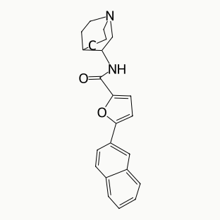 O=C(NC1CN2CCCC1CC2)c1ccc(-c2ccc3ccccc3c2)o1